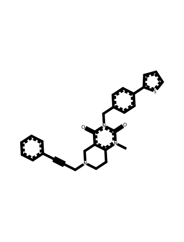 Cn1c2c(c(=O)n(Cc3ccc(-c4cccs4)cc3)c1=O)CN(CC#Cc1ccccc1)CC2